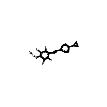 Fc1c(F)c(N=C=S)c(F)c(F)c1C#Cc1ccc(C2CC2)cc1